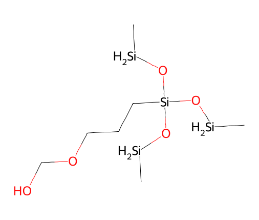 C[SiH2]O[Si](CCCOCO)(O[SiH2]C)O[SiH2]C